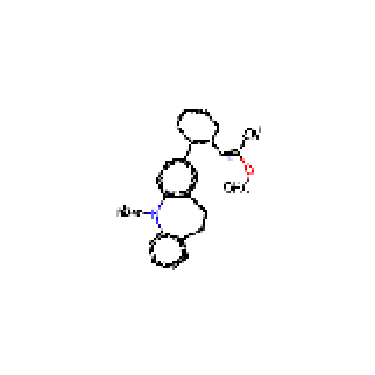 CCCCCCCCCCN1c2ccccc2CCc2cc(C3=C(/C=C(\C#N)OC=O)CCCC3)ccc21